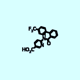 O=C(O)c1ccc(NC(=O)c2ccccc2-c2ccc(C(F)(F)F)cc2)nc1